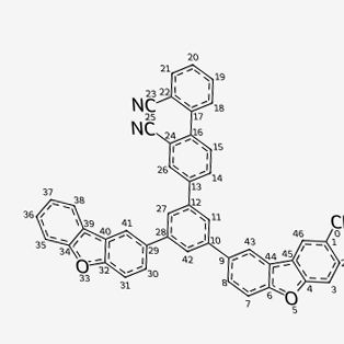 N#Cc1ccc2oc3ccc(-c4cc(-c5ccc(-c6ccccc6C#N)c(C#N)c5)cc(-c5ccc6oc7ccccc7c6c5)c4)cc3c2c1